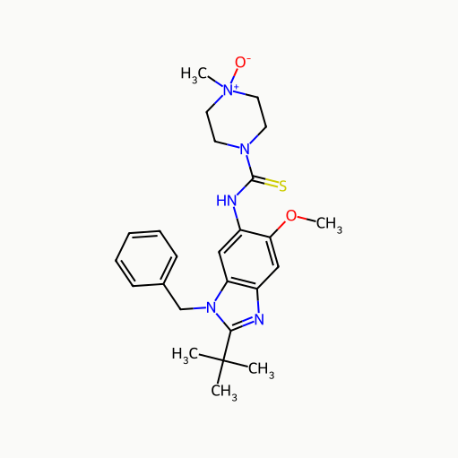 COc1cc2nc(C(C)(C)C)n(Cc3ccccc3)c2cc1NC(=S)N1CC[N+](C)([O-])CC1